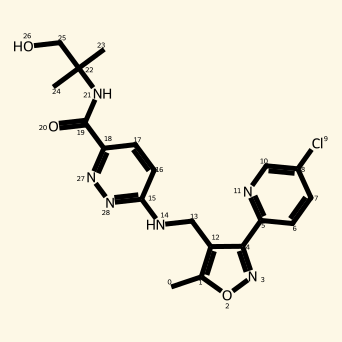 Cc1onc(-c2ccc(Cl)cn2)c1CNc1ccc(C(=O)NC(C)(C)CO)nn1